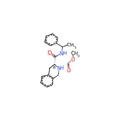 CC(NC(=O)[C@H]1Cc2ccccc2CN1)c1ccccc1.COC=O